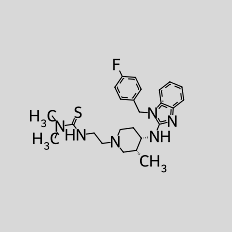 C[C@@H]1CN(CCNC(=S)N(C)C)CC[C@@H]1Nc1nc2ccccc2n1Cc1ccc(F)cc1